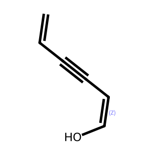 C=CC#C/C=C\O